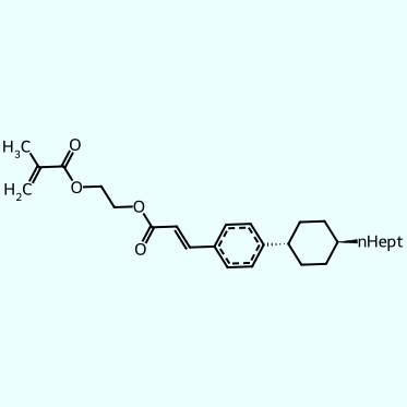 C=C(C)C(=O)OCCOC(=O)/C=C/c1ccc([C@H]2CC[C@H](CCCCCCC)CC2)cc1